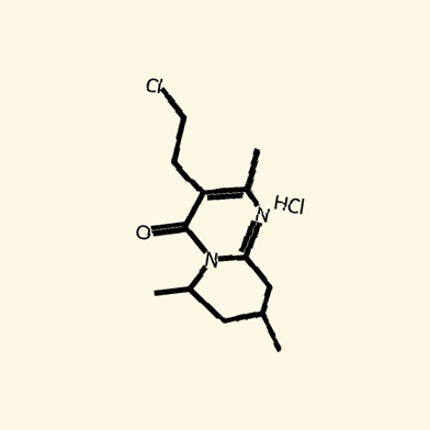 Cc1nc2n(c(=O)c1CCCl)C(C)CC(C)C2.Cl